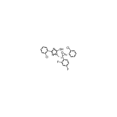 Fc1ccc([C@@]2(Cn3nc(-c4ccccc4Cl)nc3S)O[C@@H]2c2ccccc2Cl)c(F)c1